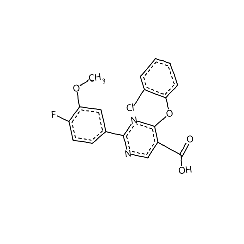 COc1cc(-c2ncc(C(=O)O)c(Oc3ccccc3Cl)n2)ccc1F